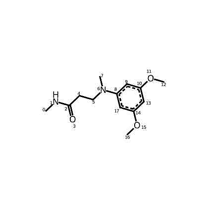 CNC(=O)CCN(C)c1cc(OC)cc(OC)c1